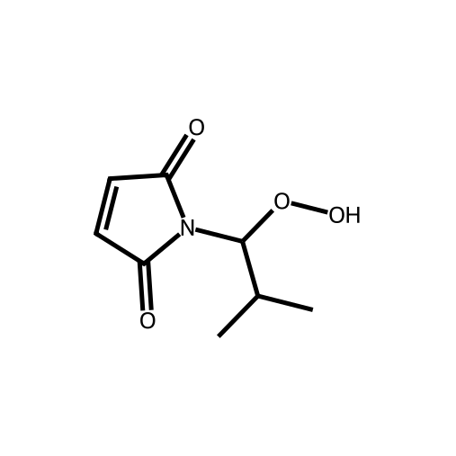 CC(C)C(OO)N1C(=O)C=CC1=O